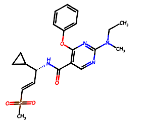 CCN(C)c1ncc(C(=O)N[C@H](/C=C/S(C)(=O)=O)C2CC2)c(Oc2ccccc2)n1